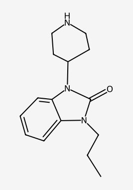 CCCn1c(=O)n(C2CCNCC2)c2ccccc21